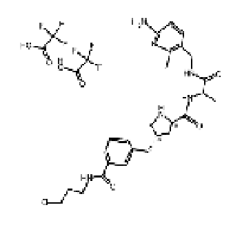 Cc1nc(N)ccc1CNC(=O)C(C)NC(=O)[C@H]1C[C@H](Cc2cccc(C(=O)NCCCCl)c2)CN1.O=C(O)C(F)(F)F.O=C(O)C(F)(F)F